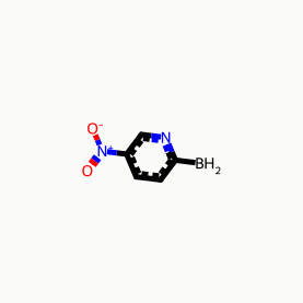 Bc1ccc([N+](=O)[O-])cn1